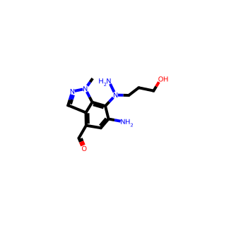 Cn1ncc2c(C=O)cc(N)c(N(N)CCCO)c21